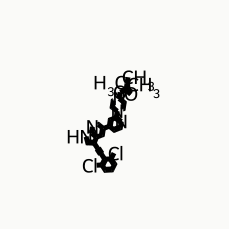 CC(C)(C)C(=O)ON1CCN(c2cc(-c3cnc4[nH]cc(C#Cc5c(Cl)cccc5Cl)c4c3)ccn2)CC1